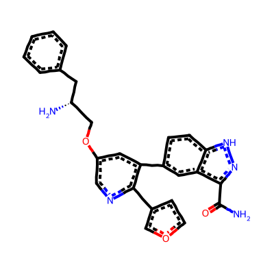 NC(=O)c1n[nH]c2ccc(-c3cc(OC[C@H](N)Cc4ccccc4)cnc3-c3ccoc3)cc12